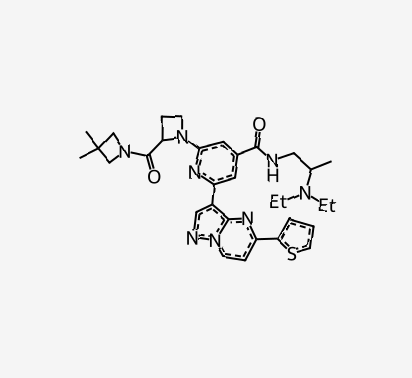 CCN(CC)C(C)CNC(=O)c1cc(-c2cnn3ccc(-c4cccs4)nc23)nc(N2CCC2C(=O)N2CC(C)(C)C2)c1